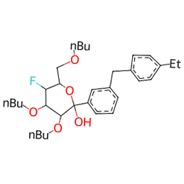 CCCCOCC1OC(O)(c2cccc(Cc3ccc(CC)cc3)c2)C(OCCCC)C(OCCCC)C1F